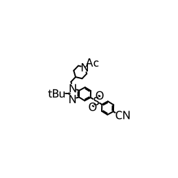 CC(=O)N1CCC(Cn2c(C(C)(C)C)nc3cc(S(=O)(=O)c4ccc(C#N)cc4)ccc32)CC1